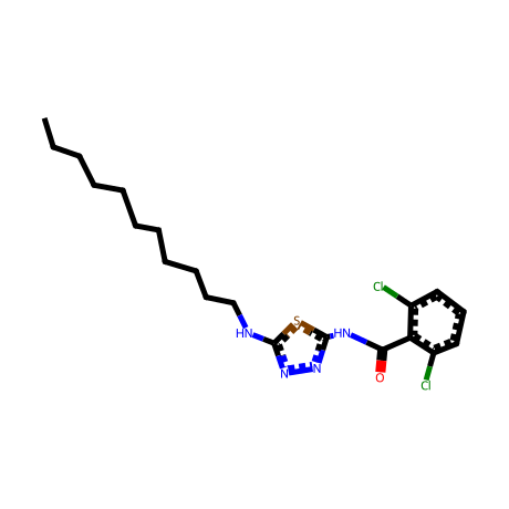 CCCCCCCCCCCNc1nnc(NC(=O)c2c(Cl)cccc2Cl)s1